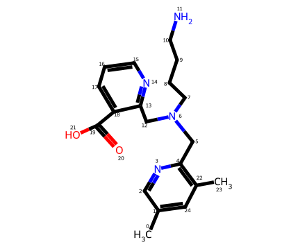 Cc1cnc(CN(CCCCN)Cc2ncccc2C(=O)O)c(C)c1